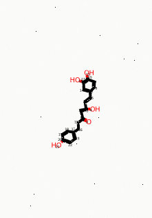 O=C(/C=C(O)/C=C/c1ccc(O)c(O)c1)CCc1ccc(O)cc1